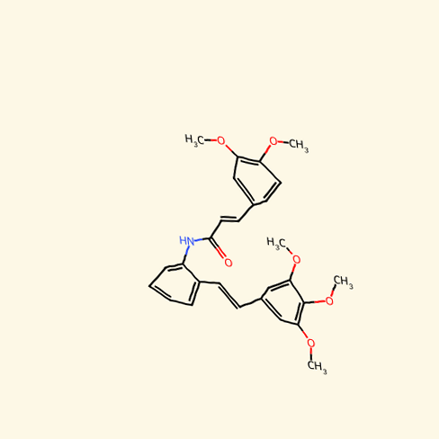 COc1ccc(/C=C/C(=O)Nc2ccccc2C=Cc2cc(OC)c(OC)c(OC)c2)cc1OC